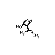 CSC(C)C1CNCC1O